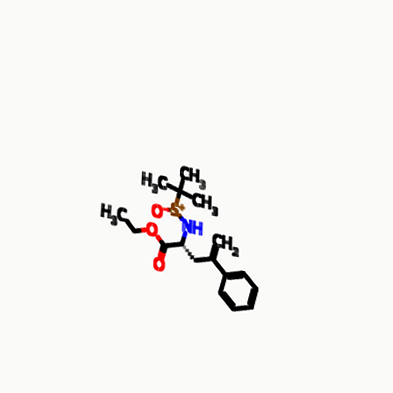 C=C(C[C@@H](N[S+]([O-])C(C)(C)C)C(=O)OCC)c1ccccc1